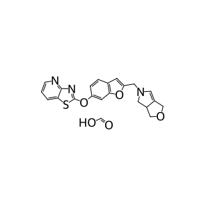 C1=C2COCC2CN1Cc1cc2ccc(Oc3nc4ncccc4s3)cc2o1.O=CO